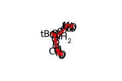 CC(C)(C)OC(=O)N(CCOCCOCCOCCn1nnc(CN2CCS(=O)(=O)CC2)c1Cl)C(N)COCCOCCOCCn1nnc(CN2CCS(=O)(=O)CC2)c1Cl